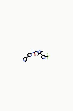 Cc1nn(CC(=O)Nc2ccc(-c3ccncc3)cn2)c(C)c1-c1ccnc(C(F)(F)F)c1